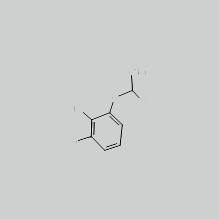 CCCCCCCCCC(CCCC)Oc1cccc(O)c1O